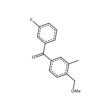 COCc1ccc(C(=O)c2cccc(F)c2)cc1C